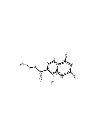 CCOC(=O)c1cnc2c(F)cc(C)cc2c1O